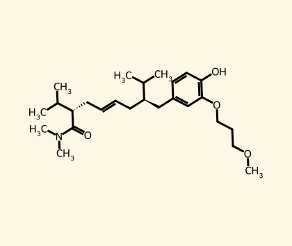 COCCCOc1cc(C[C@@H](C/C=C/C[C@H](C(=O)N(C)C)C(C)C)C(C)C)ccc1O